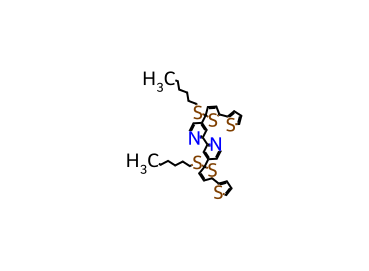 CCCCCCSC1(c2ccnc(-c3cc(C4(SCCCCCC)C=CC(c5cccs5)S4)ccn3)c2)C=CC(c2cccs2)S1